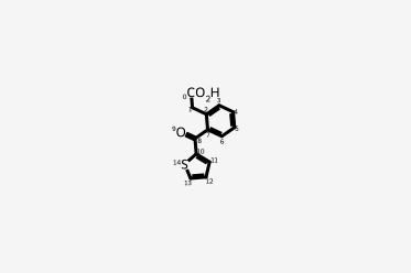 O=C(O)Cc1ccccc1C(=O)c1cccs1